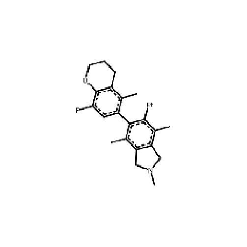 CCc1c(C)c2c(c(C)c1-c1cc(F)c3c(c1C)CCCO3)CN(C)C2